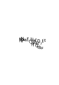 CCOC(=O)[C@@H]1C[C@H]2CC(F)(CCn3cnnn3)CC[C@H]2CN1C(=O)OC(C)(C)C